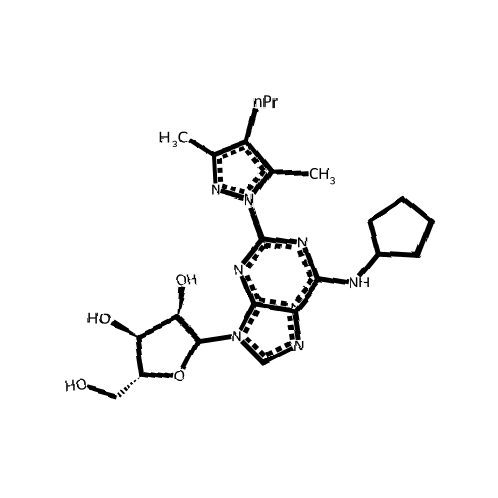 CCCc1c(C)nn(-c2nc(NC3CCCC3)c3ncn(C4O[C@H](CO)[C@@H](O)[C@H]4O)c3n2)c1C